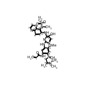 C=CC(=O)Nc1cc(Nc2ncc(O)c(Nc3ccc4nccnc4c3N(C)S(C)(=O)=O)n2)c(OC)cc1N(C)CC(C)N(C)C